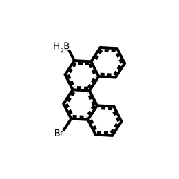 Bc1cc2cc(Br)c3ccccc3c2c2ccccc12